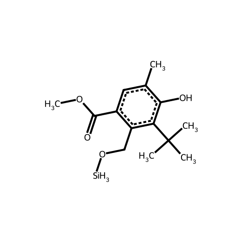 COC(=O)c1cc(C)c(O)c(C(C)(C)C)c1CO[SiH3]